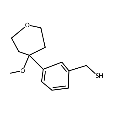 COC1(c2cccc(CS)c2)CCOCC1